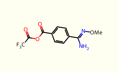 CON=C(N)c1ccc(C(=O)OC(=O)C(F)(F)F)cc1